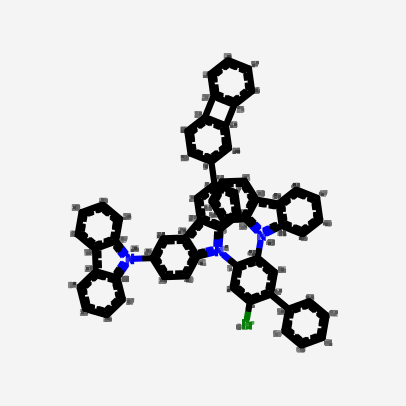 Brc1cc(-n2c3ccc(-c4ccc5c(c4)-c4ccccc4-5)cc3c3cc(-n4c5ccccc5c5ccccc54)ccc32)c(-n2c3ccccc3c3ccccc32)cc1-c1ccccc1